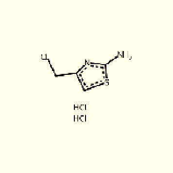 Cl.Cl.Nc1nc(CCl)cs1